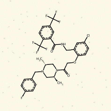 C[C@@H]1CN(C(=O)COc2ccc(Cl)cc2CNC(=O)c2cc(C(F)(F)F)ccc2C(F)(F)F)[C@@H](C)CN1Cc1ccc(F)cc1